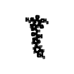 Cc1ccc(-c2csc(NC(=O)Cc3snc4c3c(=O)n(C)c(=O)n4C)n2)cc1F